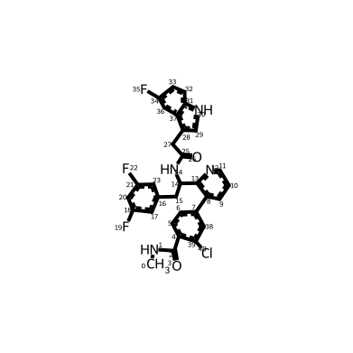 CNC(=O)c1ccc(-c2cccnc2C(Cc2cc(F)cc(F)c2)NC(=O)Cc2c[nH]c3ccc(F)cc23)cc1Cl